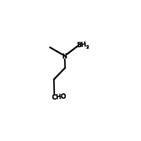 BN(C)CCC=O